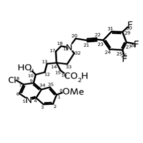 COc1ccc2ncc(Cl)c(C(O)CCC3(CC(=O)O)CCN(CC#Cc4cc(F)c(F)c(F)c4)CC3)c2c1